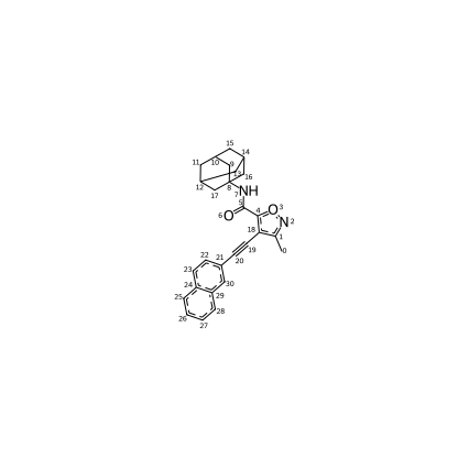 Cc1noc(C(=O)NC23CC4CC(CC(C4)C2)C3)c1C#Cc1ccc2ccccc2c1